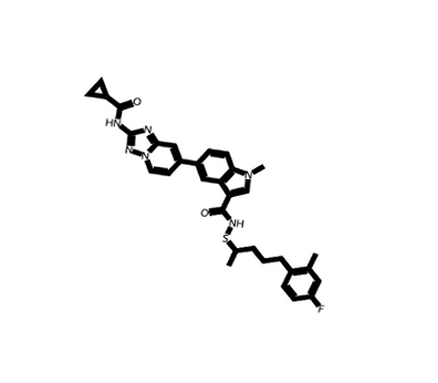 Cc1cc(F)ccc1CCCC(C)SNC(=O)c1cn(C)c2ccc(-c3ccn4nc(NC(=O)C5CC5)nc4c3)cc12